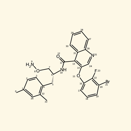 Cc1ccc(C[C@H](CON)NC(=O)c2c(Oc3cccc(Br)c3F)cnc3ccccc23)c(C)c1